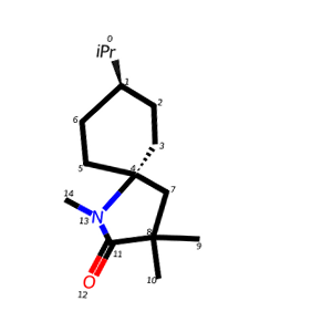 CC(C)[C@H]1CC[C@]2(CC1)CC(C)(C)C(=O)N2C